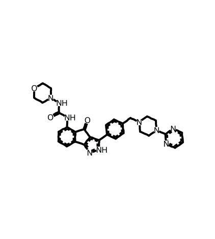 O=C(Nc1cccc2c1C(=O)c1c-2n[nH]c1-c1ccc(CN2CCN(c3ncccn3)CC2)cc1)NN1CCOCC1